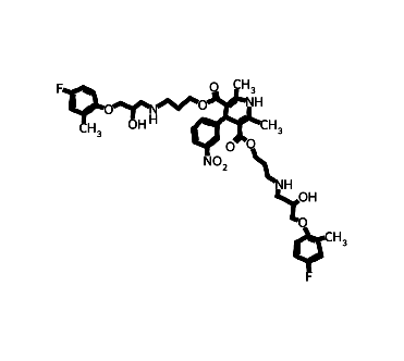 CC1=C(C(=O)OCCCNCC(O)COc2ccc(F)cc2C)C(c2cccc([N+](=O)[O-])c2)C(C(=O)OCCCNCC(O)COc2ccc(F)cc2C)=C(C)N1